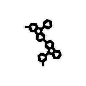 Cc1cccc(-n2c3ccccc3c3ccc(-c4ccc5c6cc(C)ccc6n(-c6ccccc6)c5c4)cc32)c1